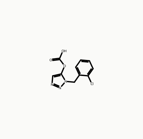 O=C(O)Oc1cnnn1Cc1ccccc1Cl